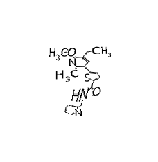 CCc1cc(-c2ccc(C(=O)NCc3ccccn3)s2)c(C)nc1OC